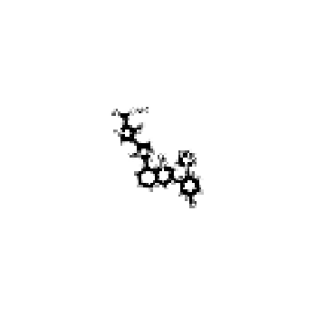 COC(=O)c1scc(-c2cnc(C3CCCc4cc(-c5cc(Cl)ccc5-n5cnnn5)c[n+]([O-])c43)[nH]2)c1F